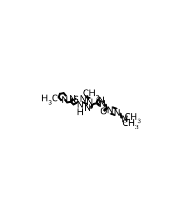 Cc1cn2c(-c3cnn(CC(=O)N4CCN(CCN(C)C)CC4)c3)cnc2c(NC2CC(CN3CCCC(C)C3)=NS2)n1